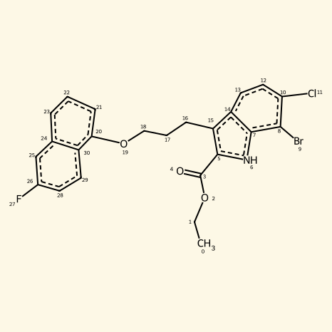 CCOC(=O)c1[nH]c2c(Br)c(Cl)ccc2c1CCCOc1cccc2cc(F)ccc12